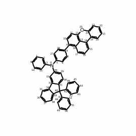 c1ccc(N(c2ccc(-c3ccc4c5c(cccc35)-c3ccccc3O4)cc2)c2ccc3c(c2)-c2ccccc2C3(c2ccccc2)c2ccccc2)cc1